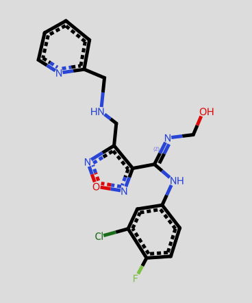 OC/N=C(\Nc1ccc(F)c(Cl)c1)c1nonc1CNCc1ccccn1